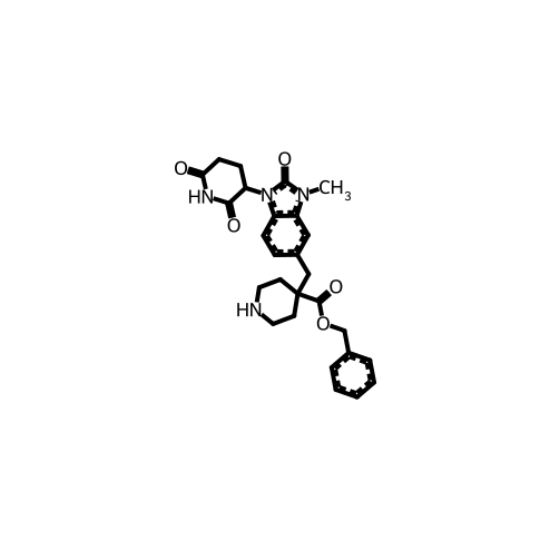 Cn1c(=O)n(C2CCC(=O)NC2=O)c2ccc(CC3(C(=O)OCc4ccccc4)CCNCC3)cc21